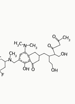 CC(=O)CC(=O)C(CO)C(CCO)CC1CC(=O)c2c(O)c(CN(C)C(C)CC(F)(F)F)cc(N(C)C)c2C1